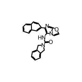 O=C(Nc1c(-c2ccc3ccccc3c2)nc2occn12)N1Cc2ccccc2C1